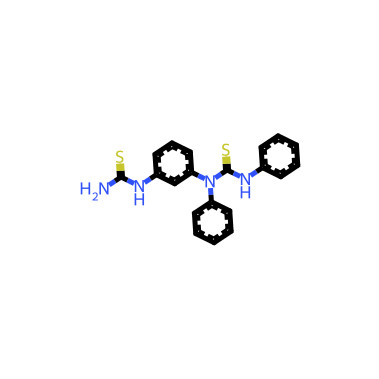 NC(=S)Nc1cccc(N(C(=S)Nc2ccccc2)c2ccccc2)c1